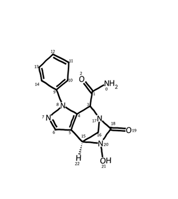 NC(=O)C1c2c(cnn2-c2ccccc2)[C@H]2CN1C(=O)N2O